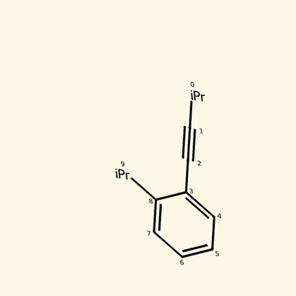 CC(C)C#Cc1ccccc1C(C)C